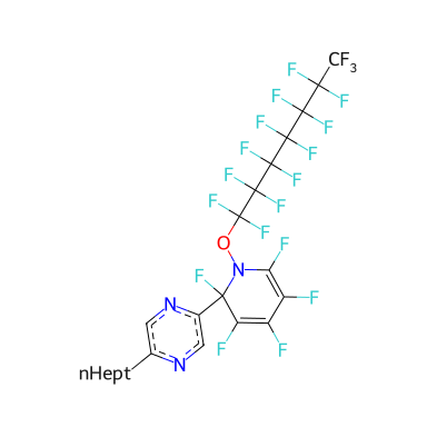 CCCCCCCc1cnc(C2(F)C(F)=C(F)C(F)=C(F)N2OC(F)(F)C(F)(F)C(F)(F)C(F)(F)C(F)(F)C(F)(F)C(F)(F)F)cn1